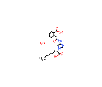 CCCCCCC(C(=O)O)n1cnc(NC(=O)Cc2ccccc2C(=O)O)c1.O